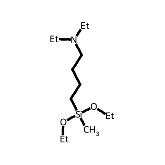 CCO[Si](C)(CCCCN(CC)CC)OCC